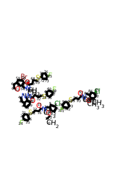 C=CCOc1ccc(Cl)cc1CN(C)C(=O)CCCSc1ccc(F)cc1.CN(C(=O)CCCSc1ccc(F)cc1)c1nccc2ccccc12.CN(Cc1cc(Br)cc2c1OCC2)C(=O)CCCSc1ccc(F)cc1.COc1c(C)cc(Cl)cc1CN(C)C(=O)CCCSc1ccc(F)cc1